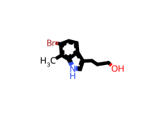 Cc1c(Br)ccc2c(CCCO)c[nH]c12